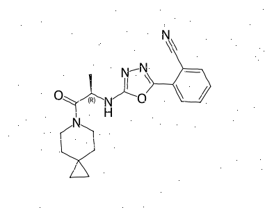 C[C@@H](Nc1nnc(-c2ccccc2C#N)o1)C(=O)N1CCC2(CC1)CC2